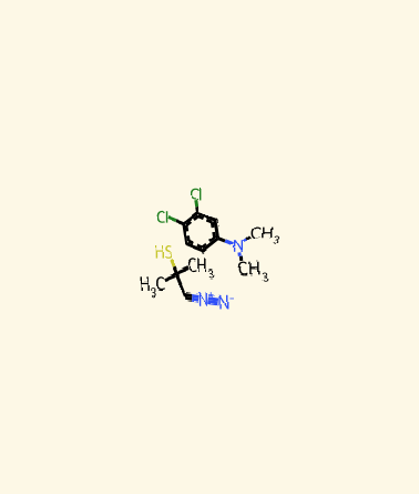 CC(C)(S)C=[N+]=[N-].CN(C)c1ccc(Cl)c(Cl)c1